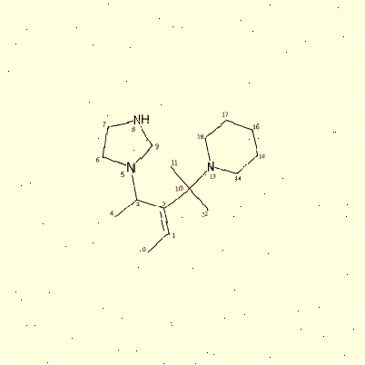 C/C=C(\C(C)N1CCNC1)C(C)(C)N1CCCCC1